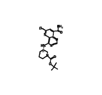 CC(C)(C)OC(=O)N1CCC[C@H](Nc2ncnc3c(C(N)=O)cc(Cl)nc23)C1